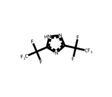 FC(F)(F)C(F)(F)c1n[nH]c(C(F)(F)C(F)(F)F)n1